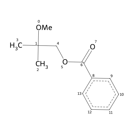 COC(C)(C)COC(=O)c1ccccc1